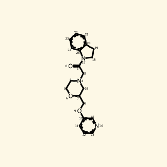 O=C(CN1CCOC(COc2cccnc2)C1)N1CCc2ccccc21